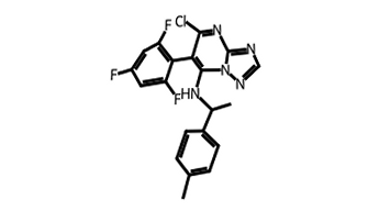 Cc1ccc(C(C)Nc2c(-c3c(F)cc(F)cc3F)c(Cl)nc3ncnn23)cc1